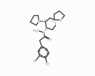 CN(C(=O)Cc1ccc(Cl)c(Cl)c1)[C@H]1CC[C@@]2(CCCO2)C[C@@H]1N1CCCC1